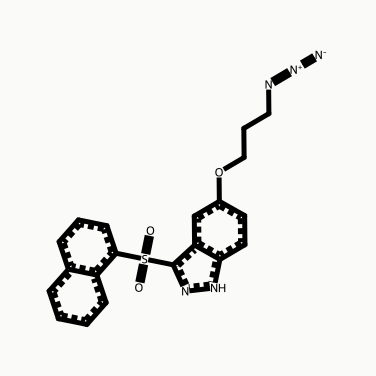 [N-]=[N+]=NCCCOc1ccc2[nH]nc(S(=O)(=O)c3cccc4ccccc34)c2c1